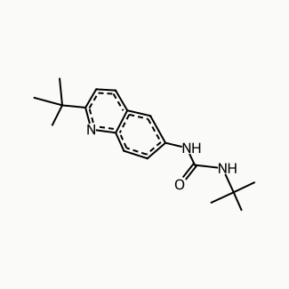 CC(C)(C)NC(=O)Nc1ccc2nc(C(C)(C)C)ccc2c1